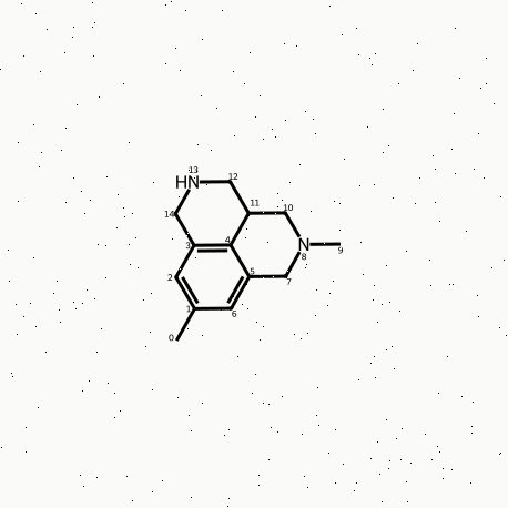 Cc1cc2c3c(c1)CN(C)CC3CNC2